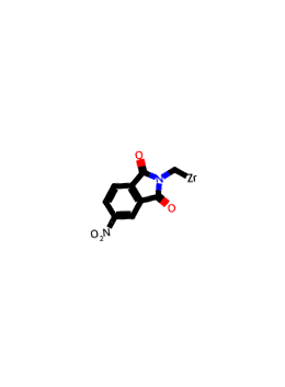 O=C1c2ccc([N+](=O)[O-])cc2C(=O)N1[CH2][Zr]